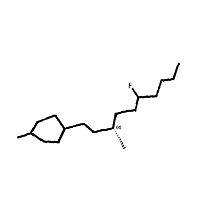 CCCCC(F)CC[C@H](C)CCC1CCC(C)CC1